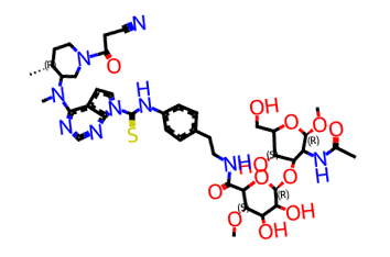 CO[C@@H]1OC(CO)[C@@H](O)C(O[C@@H]2OC(C(=O)NCCc3ccc(NC(=S)n4ccc5c(N(C)C6CN(C(=O)CC#N)CC[C@H]6C)ncnc54)cc3)[C@@H](OC)C(O)C2O)C1NC(C)=O